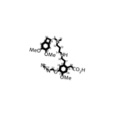 COc1cc2c(cc1OC)[C@@H](CN(C)CCCNCCc1cc(OCN=[N+]=[N-])c(OC)cc1CC(=O)O)C2